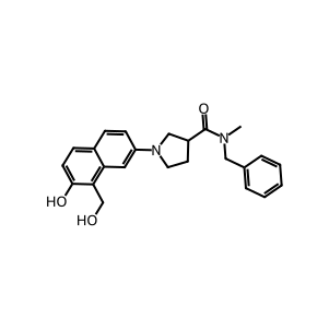 CN(Cc1ccccc1)C(=O)C1CCN(c2ccc3ccc(O)c(CO)c3c2)C1